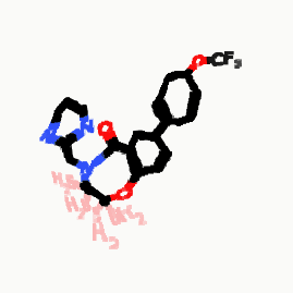 BC1(B)Oc2ccc(-c3ccc(OC(F)(F)F)cc3)cc2C(=O)N(Cc2ncccn2)C1(B)B